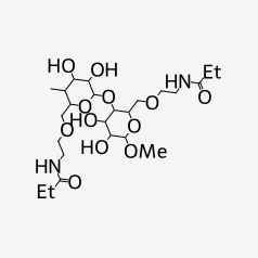 CCC(=O)NCCOCC1OC(OC2C(COCCNC(=O)CC)OC(OC)C(O)C2O)C(O)C(O)C1C